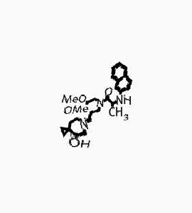 COC(CN(CCCN1CCC2(CC2)[C@H](O)C1)C(=O)C(C)Nc1ccc2ccccc2c1)OC